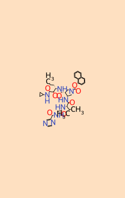 CCC[C@H](NC(=O)[C@@H]1CN(C(=O)Oc2cccc3ccccc23)C[C@@H]1NC(=O)[C@@H](NC(=O)CNC(=O)c1cnccn1)C(C)C)C(=O)C(=O)NC1CC1